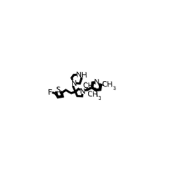 Cc1ccc(C(C)(C)N2CCC(CCc3ccc(F)s3)(CN3CCNCC3)C2)cn1